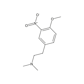 COc1ccc(CCN(C)C)cc1[N+](=O)[O-]